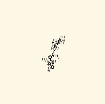 Cc1ccc(C(C)CCCCNC(=O)NC[C@H](O)[C@@H](O)[C@H](O)[C@H](O)CO)cc1CNC1(c2cnccc2-c2ccccc2OC2CC2)CC1